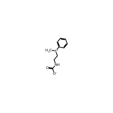 C[S+](CCNC(=O)[O-])c1ccccc1